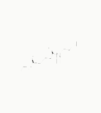 CCOC(=O)CCCC(=O)NCCS